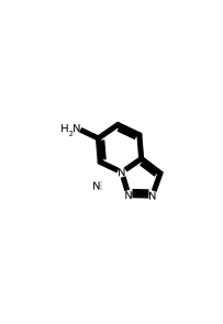 Nc1ccc2cnnn2c1.[N]